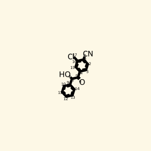 N#Cc1ccc(C(=O)C(O)c2ccccc2)cc1Cl